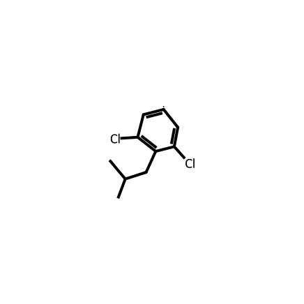 CC(C)Cc1c(Cl)c[c]cc1Cl